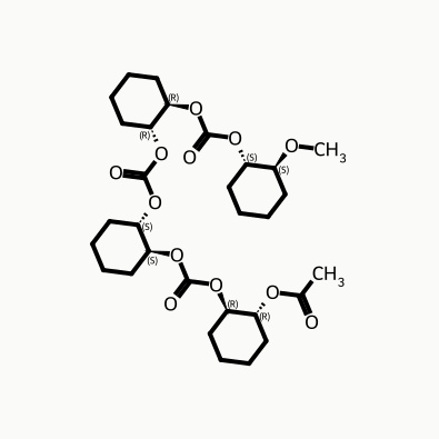 CO[C@H]1CCCC[C@@H]1OC(=O)O[C@@H]1CCCC[C@H]1OC(=O)O[C@H]1CCCC[C@@H]1OC(=O)O[C@@H]1CCCC[C@H]1OC(C)=O